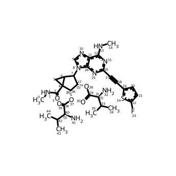 CNC(=O)C12CC1C(n1cnc3c(NC)nc(C#Cc4ccc(F)s4)nc31)[C@H](OC(=O)[C@@H](N)C(C)C)[C@@H]2OC(=O)[C@@H](N)C(C)C